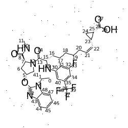 CCn1c(O[C@@H]2C[C@@H](C(=O)NC)N(C(=O)[C@H](CCCCC/C=C\[C@@H]3C[C@@H]3C(=O)O)Nc3cc(F)cc(C(F)(F)F)c3)C2)nc2ccccc21